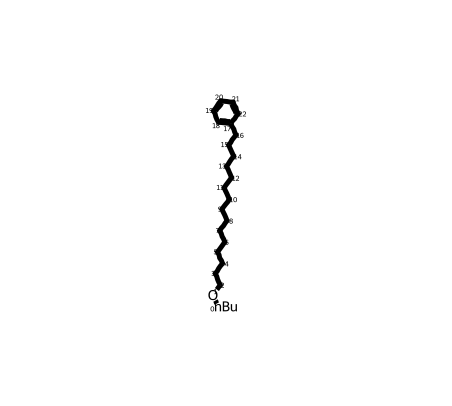 CCCCOCCCCCCCCCCCCCCCc1ccccc1